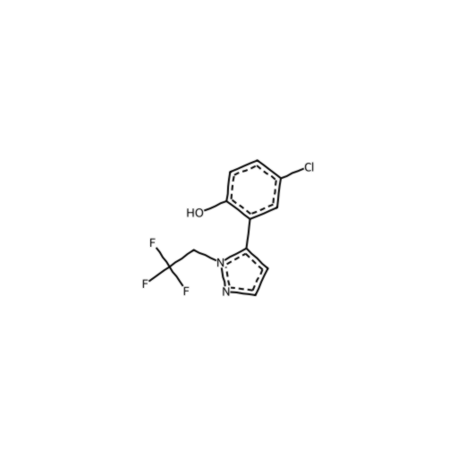 Oc1ccc(Cl)cc1-c1ccnn1CC(F)(F)F